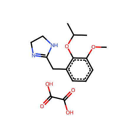 COc1cccc(CC2=NCCN2)c1OC(C)C.O=C(O)C(=O)O